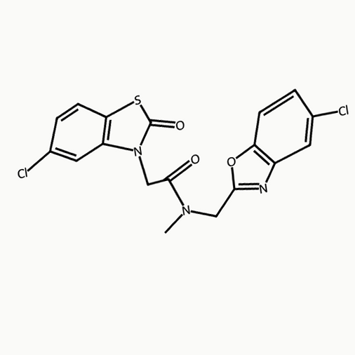 CN(Cc1nc2cc(Cl)ccc2o1)C(=O)Cn1c(=O)sc2ccc(Cl)cc21